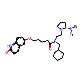 CCN(CC)[C@@H]1CCCN1CCN(CC1CCCCC1)C(=O)CCCCOc1ccc2[nH]c(=O)ccc2c1